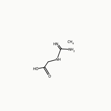 C.N=C(N)NCC(=O)O